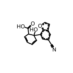 N#Cc1cc(C2(O)C=CC=CC2C(=O)O)c2occc2c1